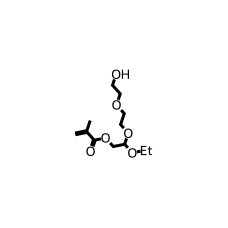 C=C(C)C(=O)OCC(OCC)OCCOCCO